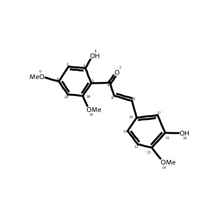 COc1cc(O)c(C(=O)C=Cc2ccc(OC)c(O)c2)c(OC)c1